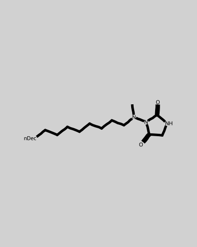 CCCCCCCCCCCCCCCCCCN(C)N1C(=O)CNC1=O